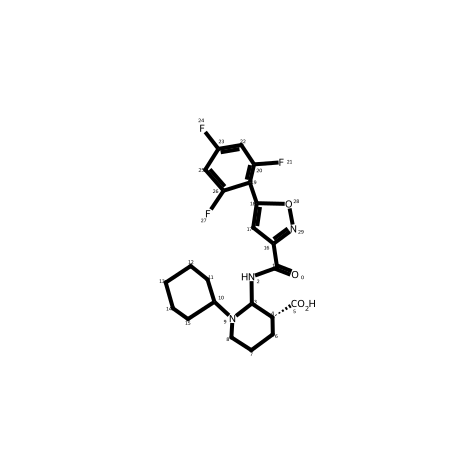 O=C(NC1[C@H](C(=O)O)CCCN1C1CCCCC1)c1cc(-c2c(F)cc(F)cc2F)on1